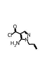 C=CCn1ncc(C(=O)Cl)c1N